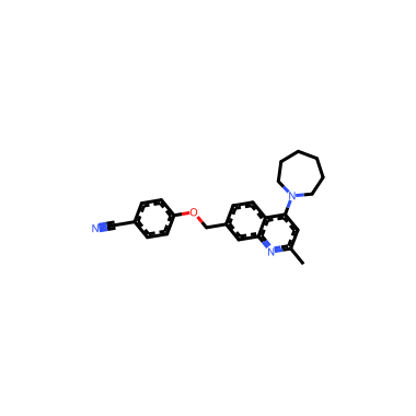 Cc1cc(N2CCCCCC2)c2ccc(COc3ccc(C#N)cc3)cc2n1